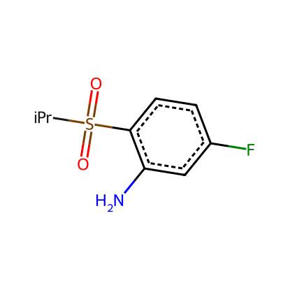 CC(C)S(=O)(=O)c1ccc(F)cc1N